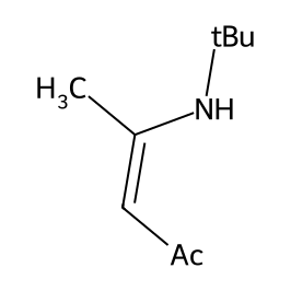 CC(=O)/C=C(/C)NC(C)(C)C